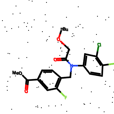 CCCCOCC(=O)N(Cc1ccc(C(=O)OC)cc1F)c1ccc(F)c(Cl)c1